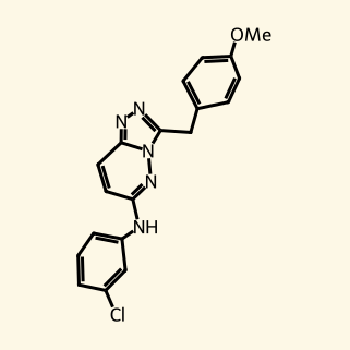 COc1ccc(Cc2nnc3ccc(Nc4cccc(Cl)c4)nn23)cc1